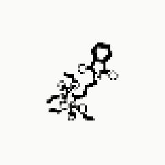 CCOP(=O)(OCC)C(CCCN1C(=O)c2ccccc2C1=O)P(=O)(OCC)OCC